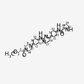 COCCC(=O)N1CCN(c2ccc(Nc3nccc(-c4ccc(NC(=O)[C@H]5CCCN5)cc4)n3)cc2)CC1